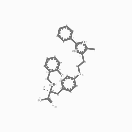 Cc1oc(-c2ccccc2)nc1CCOc1ccc(C[C@](C)(NCc2ccccc2Cl)C(=O)O)cc1